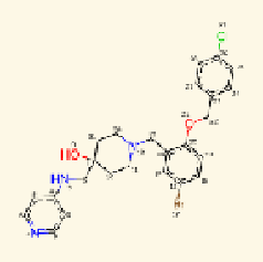 OC1(CNc2ccncc2)CCN(Cc2cc(Br)ccc2OCc2ccc(Cl)cc2)CC1